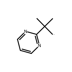 [CH2]C(C)(C)c1ncccn1